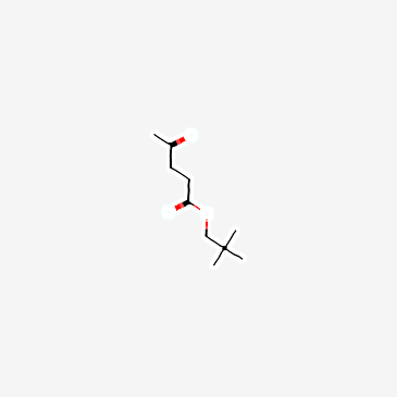 CC(=O)CCC(=O)OCC(C)(C)C